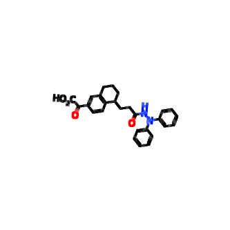 O=C(CCC1CCCc2cc(C(=O)C(=O)O)ccc21)NN(c1ccccc1)c1ccccc1